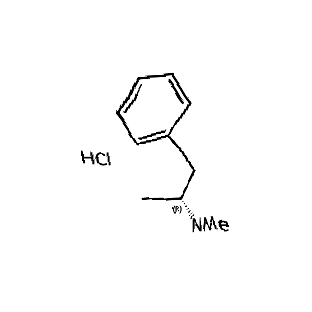 CN[C@H](C)Cc1ccccc1.Cl